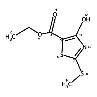 CCOC(=O)c1sc(SC)nc1O